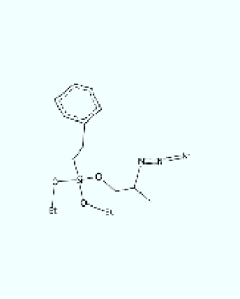 CCO[Si](CCc1ccccc1)(OCC)OCC(C)N=[N+]=[N-]